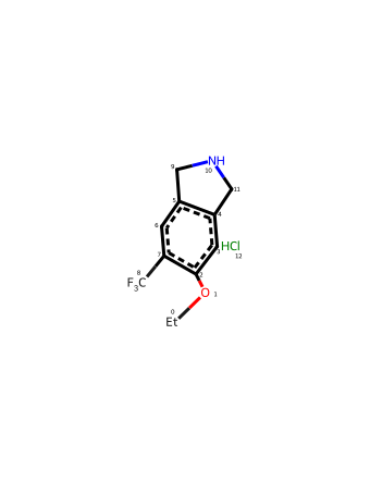 CCOc1cc2c(cc1C(F)(F)F)CNC2.Cl